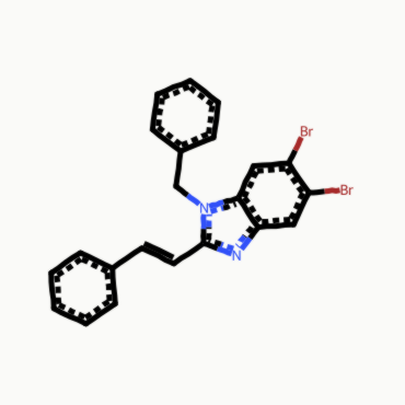 Brc1cc2nc(/C=C/c3ccccc3)n(Cc3ccccc3)c2cc1Br